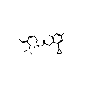 C/C=C(\C=C/CS(N)(=O)=NC(=O)Cc1c(C(C)C)cc(F)cc1C1CC1)CN(C)C